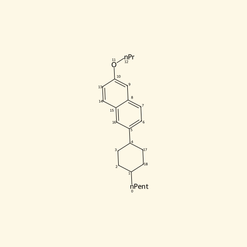 CCCCCC1CCC(c2ccc3cc(OCCC)ccc3c2)CC1